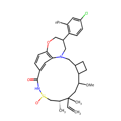 C=CC1(C)CC(OC)C2CCC2CN2CC(c3ccc(Cl)cc3CCC)COc3ccc(cc32)C(=O)N[S+]([O-])C[C@H]1C